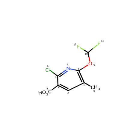 Cc1cc(C(=O)O)c(Cl)nc1OC(F)F